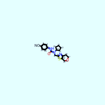 N#Cc1ccc(NC(=O)N(Cc2nc3c(s2)COCC3)C2CCCC2)cc1